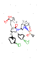 CCC(CN(C)S(=O)(=O)C1CC1)N1C(=O)[C@H](CC(C)C(=O)O)C[C@H](c2cccc(Cl)c2)[C@H]1c1ccc(Cl)cc1